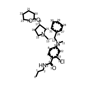 CCCNC(=O)c1ccc(N(C)[C@H](CN2CC[C@H](OC3CCCCO3)C2)c2ccccc2)cc1Cl